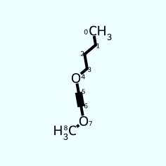 CCCCOC#COC